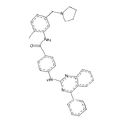 Cc1ccc(CN2CCCC2)cc1NC(=O)c1ccc(Nc2nc(-c3ccccc3)c3ccccc3n2)cc1